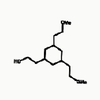 COCCC1CC(CCO)CC(CCOC)C1